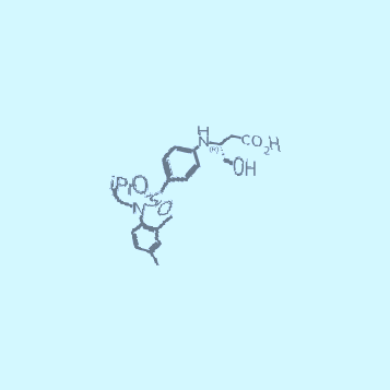 Cc1ccc(N(CC(C)C)S(=O)(=O)c2ccc(N[C@@H](CO)CC(=O)O)cc2)c(C)c1